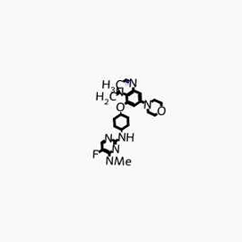 C=Nc1c(/N=C\C)cc(N2CCOCC2)cc1O[C@H]1CC[C@@H](Nc2ncc(F)c(NC)n2)CC1